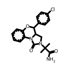 CC(C)(C(N)=O)N1CC2C(c3ccc(Cl)cc3)Oc3ccccc3N2C1=O